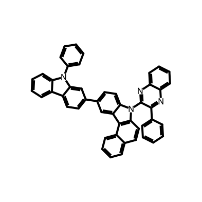 c1ccc(-c2nc3ccccc3nc2-n2c3ccc(-c4ccc5c6ccccc6n(-c6ccccc6)c5c4)cc3c3c4ccccc4ccc32)cc1